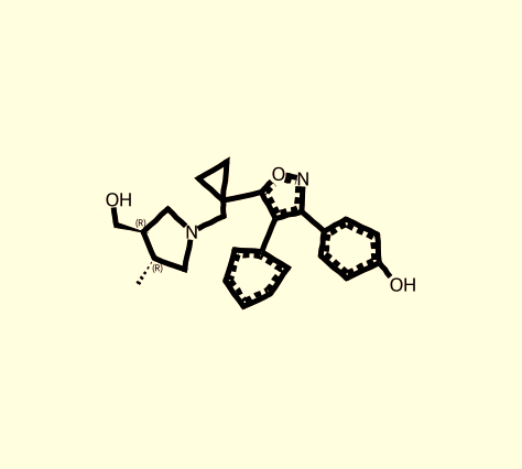 C[C@H]1CN(CC2(c3onc(-c4ccc(O)cc4)c3-c3ccccc3)CC2)C[C@@H]1CO